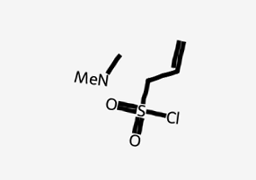 C=CCS(=O)(=O)Cl.CNC